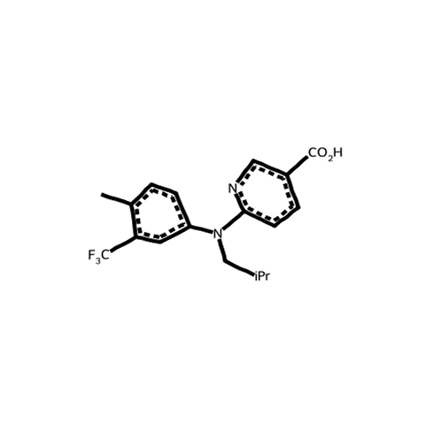 Cc1ccc(N(CC(C)C)c2ccc(C(=O)O)cn2)cc1C(F)(F)F